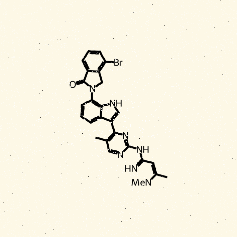 CN/C(C)=C\C(=N)Nc1ncc(C)c(-c2c[nH]c3c(N4Cc5c(Br)cccc5C4=O)cccc23)n1